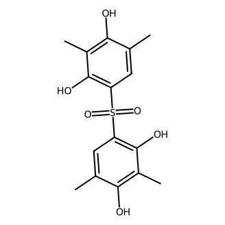 Cc1cc(S(=O)(=O)c2cc(C)c(O)c(C)c2O)c(O)c(C)c1O